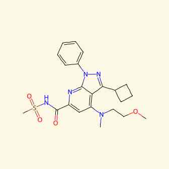 COCCN(C)c1cc(C(=O)NS(C)(=O)=O)nc2c1c(C1CCC1)nn2-c1ccccc1